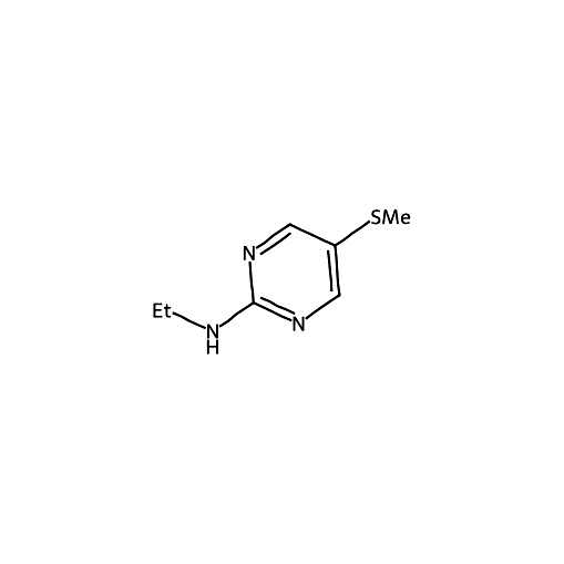 CCNc1ncc(SC)cn1